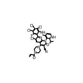 C=CC(=O)N1CCN(c2c(C#N)c(=O)n(C3=C(C)C=CNC3C(C)C)c3nc(-c4c(N)c(Cl)c(Cl)c(Cl)c4F)c(Cl)cc23)CC1